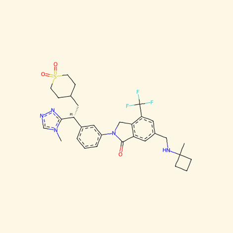 Cn1cnnc1[C@H](CC1CCS(=O)(=O)CC1)c1cccc(N2Cc3c(cc(CNC4(C)CCC4)cc3C(F)(F)F)C2=O)c1